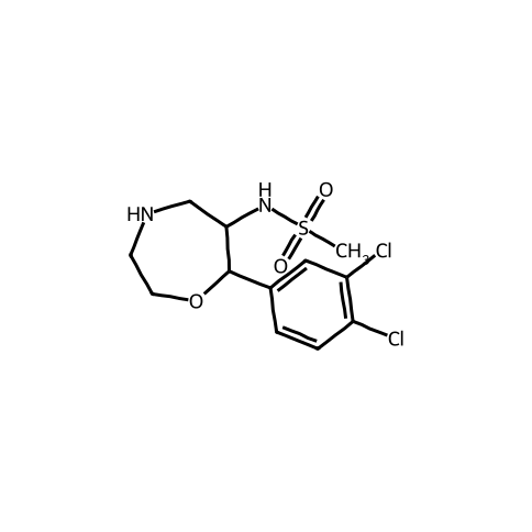 CS(=O)(=O)NC1CNCCOC1c1ccc(Cl)c(Cl)c1